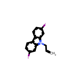 C=CCn1c2cc(I)ccc2c2ccc(I)cc21